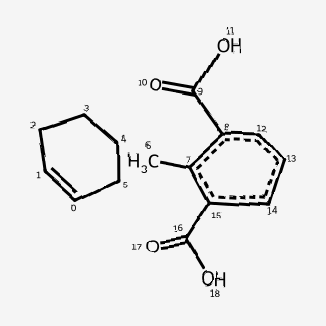 C1=CCCCC1.Cc1c(C(=O)O)cccc1C(=O)O